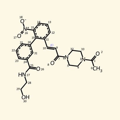 CC(=O)N1CCN(C(=O)/C=C/c2cc[c]c([N+](=O)[O-])c2-c2cccc(C(=O)NCCO)c2)CC1